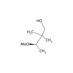 CO[C@H](C)C(C)(C)CO